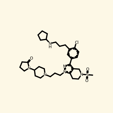 CS(=O)(=O)N1CCc2c(c(-c3ccc(Cl)c(CCCNC4CCCC4)c3)nn2CCCN2CCC(N3CCCC3=O)CC2)C1